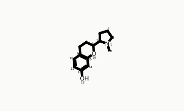 CN1CCCC1C1CCc2ccc(O)cc2O1